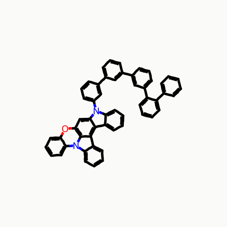 c1ccc(-c2ccccc2-c2cccc(-c3cccc(-c4cccc(-n5c6ccccc6c6c7c8ccccc8n8c7c(cc65)Oc5ccccc5-8)c4)c3)c2)cc1